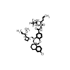 C=CC[C@H](C)[SH](=O)(NC(=O)c1ccc2c(c1)N(C[C@@H]1CC[C@H]1[C@H](C=C)OC)C[C@@]1(CCCc3cc(Cl)ccc31)CO2)NC(=O)C(F)(F)F